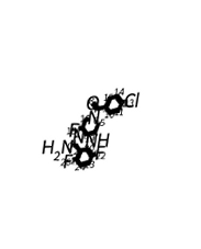 NC1=NC2(CCN(C(=O)c3ccc(Cl)cc3)CC2F)Nc2c(F)ccc(F)c21